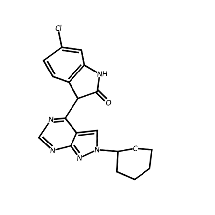 O=C1Nc2cc(Cl)ccc2C1c1ncnc2nn(C3CCCCC3)cc12